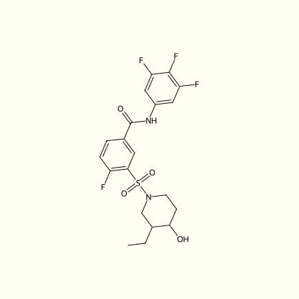 CCC1CN(S(=O)(=O)c2cc(C(=O)Nc3cc(F)c(F)c(F)c3)ccc2F)CCC1O